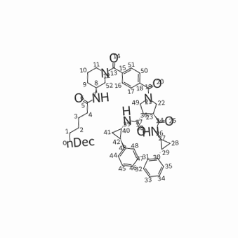 CCCCCCCCCCCCCCC(=O)N[C@H]1CCCN(C(=O)c2ccc(C(=O)N3C[C@@H](C(=O)N[C@H]4C[C@@H]4c4ccccc4)[C@H](C(=O)N[C@H]4C[C@@H]4c4ccccc4)C3)cc2)C1